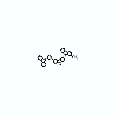 Cc1ccc2c3ccccc3n(-c3ccc4oc5ccc(-c6cccc(-n7c8ccccc8c8ccccc87)c6)cc5c4c3)c2c1